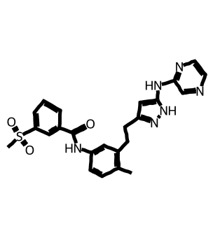 Cc1ccc(NC(=O)c2cccc(S(C)(=O)=O)c2)cc1CCc1cc(Nc2cnccn2)[nH]n1